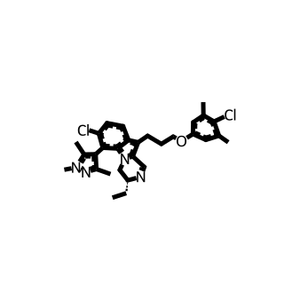 CC[C@@H]1Cn2c(c(CCCOc3cc(C)c(Cl)c(C)c3)c3ccc(Cl)c(-c4c(C)nn(C)c4C)c32)C=N1